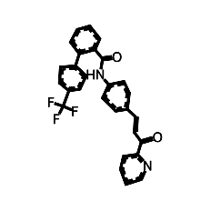 O=C(C=Cc1ccc(NC(=O)c2ccccc2-c2ccc(C(F)(F)F)cc2)cc1)c1ccccn1